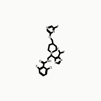 O=C(NCC(c1scnc1C(F)F)N1CCC(COc2cncc(F)n2)CC1)c1c(F)cccc1Cl